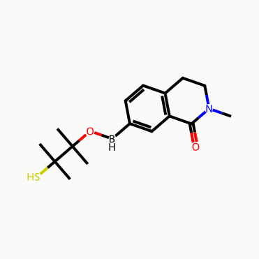 CN1CCc2ccc(BOC(C)(C)C(C)(C)S)cc2C1=O